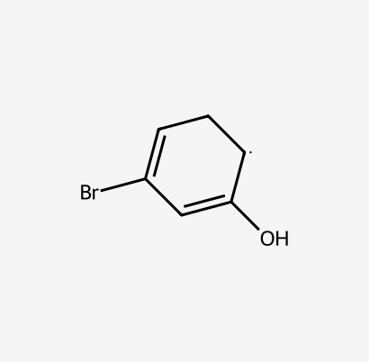 OC1=CC(Br)=CC[CH]1